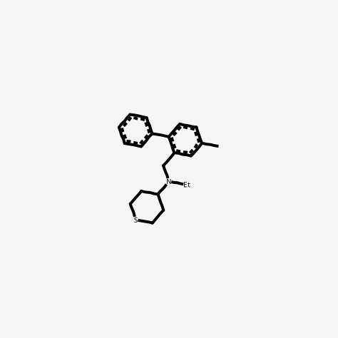 CCN(Cc1cc(C)ccc1-c1ccccc1)C1CCSCC1